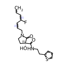 C=C/C=C(F)\C=C/CN1CC[C@](O)(C(=O)NCCc2cccs2)C1=O